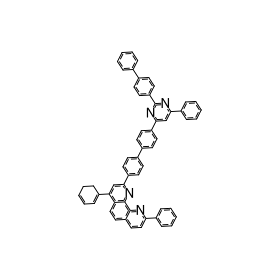 C1=CCCC(c2cc(-c3ccc(-c4ccc(-c5cc(-c6ccccc6)nc(-c6ccc(-c7ccccc7)cc6)n5)cc4)cc3)nc3c2ccc2ccc(-c4ccccc4)nc23)=C1